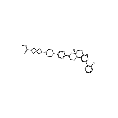 COC(=O)C1CC2(C1)CC(N1CCN(c3cnc(N4CCN5c6cc(-c7ccccc7O)nnc6NC[C@H]5C4)nc3)CC1)C2